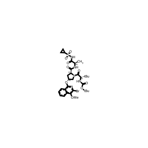 COc1c(Br)nc(O[C@@H]2C[C@@H](C(=O)N[C@H](C)C(=O)NS(=O)(=O)C3CC3)N(C(=O)[C@@H](NC(=O)OC(C)(C)C)C(C)(C)C)C2)c2ccccc12